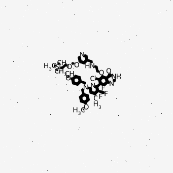 COc1ccc(CN(Cc2ccc(OC)cc2)c2cc(C)c(C(F)(F)F)c(-c3cc4nc[nH]c(=O)c4c(OCCNCc4cncc(OCOCC[Si](C)(C)C)c4)c3Cl)n2)cc1